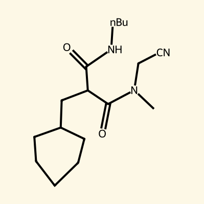 CCCCNC(=O)C(CC1CCCCC1)C(=O)N(C)CC#N